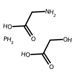 NCC(=O)O.O=C(O)CO.P